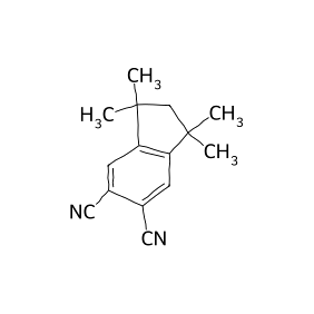 CC1(C)CC(C)(C)c2cc(C#N)c(C#N)cc21